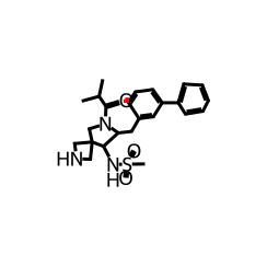 CC(C)C(=O)N1CC2(CNC2)C(NS(C)(=O)=O)C1Cc1cccc(-c2ccccc2)c1